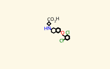 O=C(O)[C@H]1C[C@@H](NC2CCc3cc(OCc4c(Cl)cccc4Cl)ccc3C2)C1